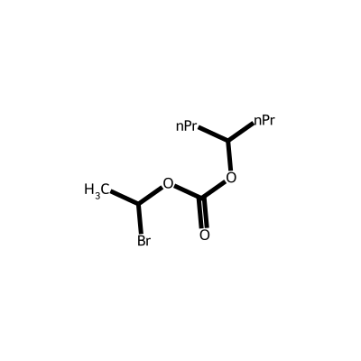 CCCC(CCC)OC(=O)OC(C)Br